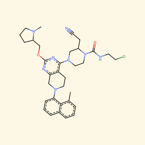 Cc1cccc2cccc(N3CCc4c(nc(OCC5CCCN5C)nc4N4CCN(C(=O)NCCCl)C(CC#N)C4)C3)c12